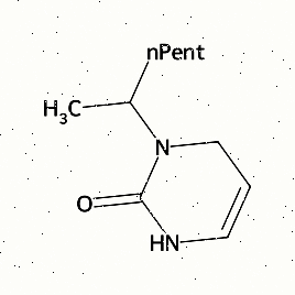 CCCCCC(C)N1CC=CNC1=O